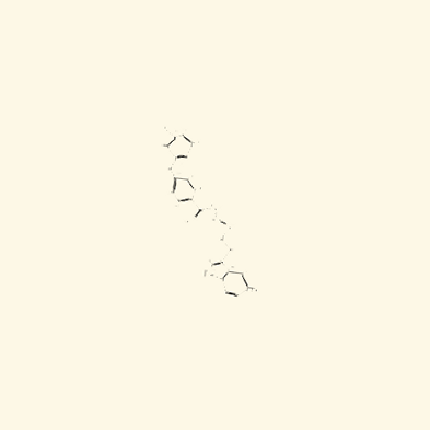 O=C(N=[N+]=NCCc1c[nH]c2ccc(O)cc12)c1ccc(Cc2cccc(F)c2)cc1